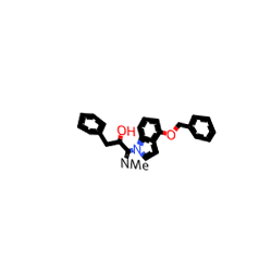 CNC(C(O)Cc1ccccc1)n1ccc2c(OCc3ccccc3)cccc21